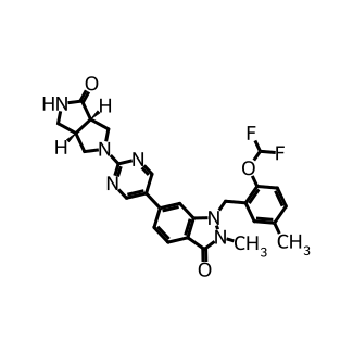 Cc1ccc(OC(F)F)c(Cn2c3cc(-c4cnc(N5C[C@@H]6CNC(=O)[C@@H]6C5)nc4)ccc3c(=O)n2C)c1